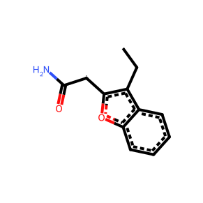 CCc1c([CH]C(N)=O)oc2ccccc12